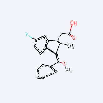 COC(=C1C(C)=C(CC(=O)O)c2cc(F)ccc21)c1ccccc1